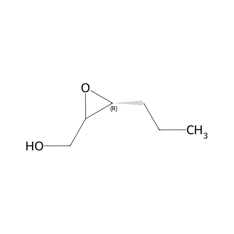 CCC[C@H]1OC1CO